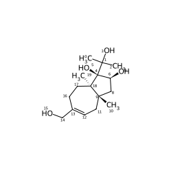 CC(C)(O)[C@]1(O)[C@@H](O)C[C@]2(C)CC=C(CO)CC[C@]21C